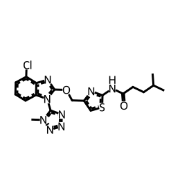 CC(C)CCC(=O)Nc1nc(COc2nc3c(Cl)cccc3n2-c2nnnn2C)cs1